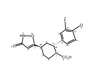 O=C(O)N1CC[C@@H](c2cc(=O)[nH]o2)C[C@@H]1c1ccc(Cl)c(F)c1